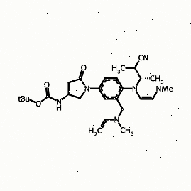 C=CN(C)Cc1cc(N2C[C@@H](NC(=O)OC(C)(C)C)CC2=O)ccc1N(/C=C\NC)[C@@H](C)C(C)C#N